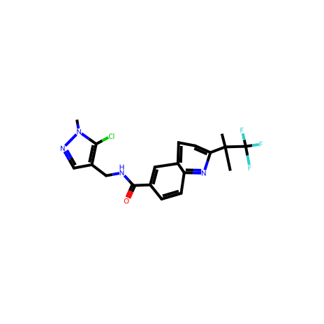 Cn1ncc(CNC(=O)c2ccc3nc(C(C)(C)C(F)(F)F)ccc3c2)c1Cl